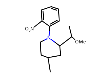 COC(C)C1CC(C)CCN1c1ccccc1[N+](=O)[O-]